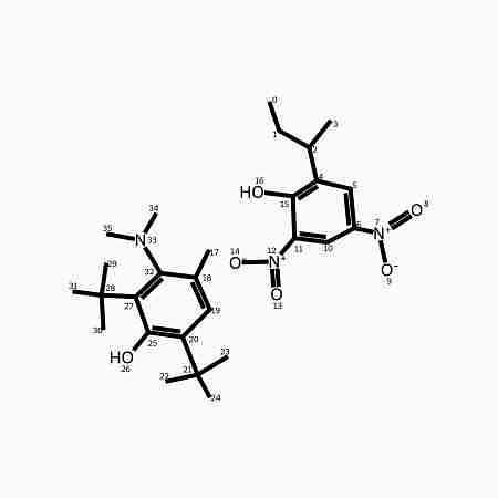 CCC(C)c1cc([N+](=O)[O-])cc([N+](=O)[O-])c1O.Cc1cc(C(C)(C)C)c(O)c(C(C)(C)C)c1N(C)C